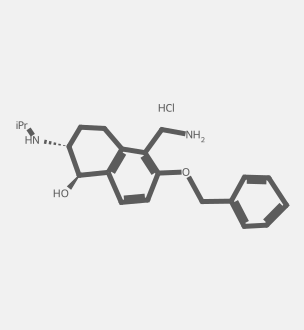 CC(C)N[C@@H]1CCc2c(ccc(OCc3ccccc3)c2CN)[C@H]1O.Cl